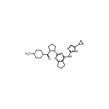 CN1CCN(C(=O)C2CCCN2c2nc3c(c(Nc4ncc(C5CC5)[nH]4)n2)CCC3)CC1